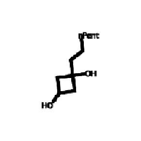 CCCCCCCC1(O)CC(O)C1